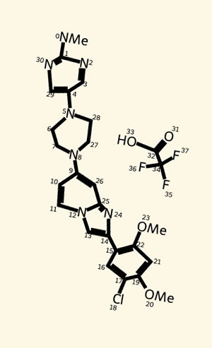 CNc1ncc(N2CCN(c3ccn4cc(-c5cc(Cl)c(OC)cc5OC)nc4c3)CC2)cn1.O=C(O)C(F)(F)F